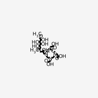 COCC(O)C(O)C(O)C(O)CN(C)CC(O)CN1CCN(CC(=O)O)CCN(CC(=O)O)CCN(CC(=O)O)CC1